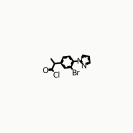 CC(C(=O)Cl)c1ccc(-n2cccn2)c(Br)c1